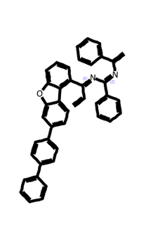 C=C/C(=N\C(=N/C(=C)c1ccccc1)c1ccccc1)c1cccc2oc3cc(-c4ccc(-c5ccccc5)cc4)ccc3c12